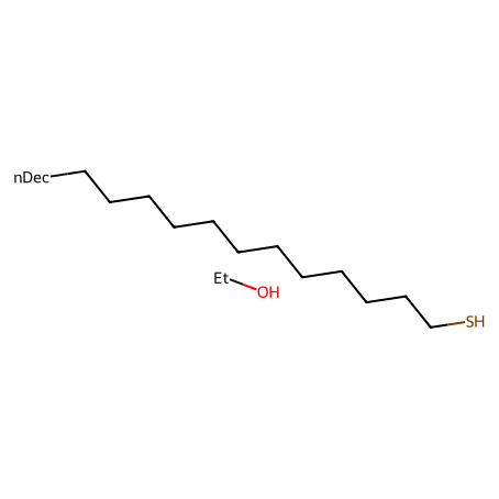 CCCCCCCCCCCCCCCCCCCCCCS.CCO